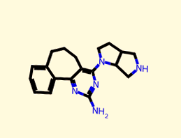 Nc1nc2c(c(N3CCC4CNCC43)n1)CCCc1ccccc1-2